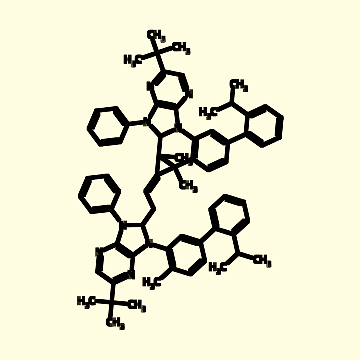 Cc1ccc(-c2ccccc2C(C)C)cc1N1c2nc(C(C)(C)C)cnc2N(c2ccccc2)C1C/C=C1\C2(C)c3ccc(-c4ccccc4C(C)C)cc3N3c4ncc(C(C)(C)C)nc4N(c4ccccc4)C3C12C